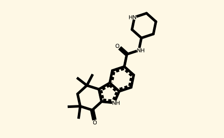 CC1(C)CC(C)(C)c2c([nH]c3ccc(C(=O)NC4CCCNC4)cc23)C1=O